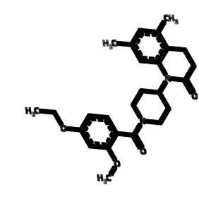 CCOc1ccc(C(=O)N2CCC(N3C(=O)CCc4c(C)cc(C)cc43)CC2)c(OC)c1